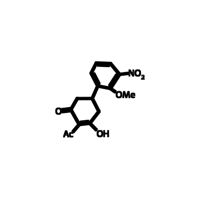 COc1c(C2CC(=O)C(C(C)=O)=C(O)C2)cccc1[N+](=O)[O-]